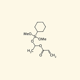 C=CC(=O)OC(C)O[Si](OC)(OC)C1CCCCC1